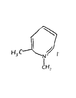 Cc1cccc[n+]1C.[I-]